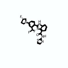 O=C(Nc1nccs1)c1cccc2[nH]c(-c3ccc(N4CC[C@H](F)C4)cc3C(F)F)nc12